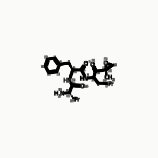 CC(C)CC(NC(=O)[C@H](Cc1ccccc1)NC(=O)[C@@H](N)C(C)C)C(=O)[C@@]1(C)CO1